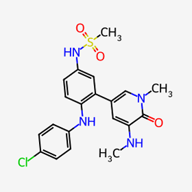 CNc1cc(-c2cc(NS(C)(=O)=O)ccc2Nc2ccc(Cl)cc2)cn(C)c1=O